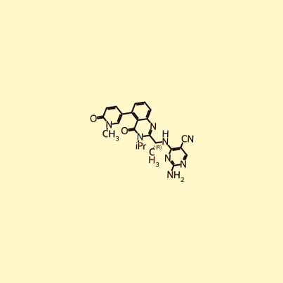 CC(C)n1c([C@@H](C)Nc2nc(N)ncc2C#N)nc2cccc(-c3ccc(=O)n(C)c3)c2c1=O